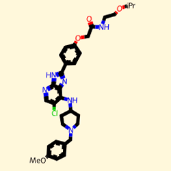 COc1ccc(CN2CCC(Nc3c(Cl)cnc4[nH]c(-c5ccc(OCC(=O)NCCOC(C)C)cc5)nc34)CC2)cc1